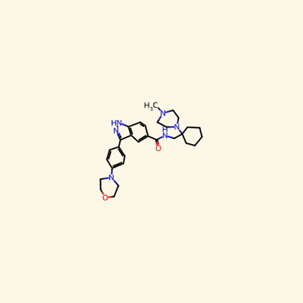 CN1CCN(C2(CNC(=O)c3ccc4[nH]nc(-c5ccc(N6CCOCC6)cc5)c4c3)CCCCC2)CC1